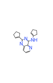 C1=C(Nc2nc(C3=CCCC3)nc3cccnc23)CCC1